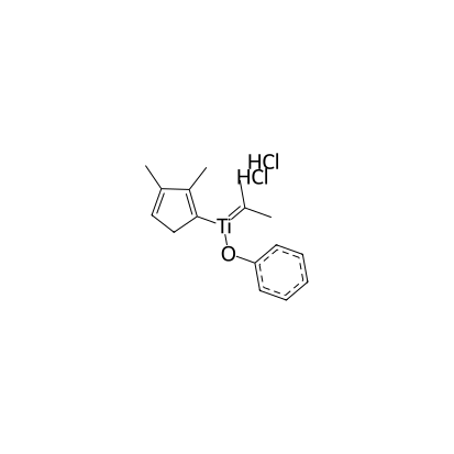 CC1=CC[C]([Ti]([O]c2ccccc2)=[C](C)C)=C1C.Cl.Cl